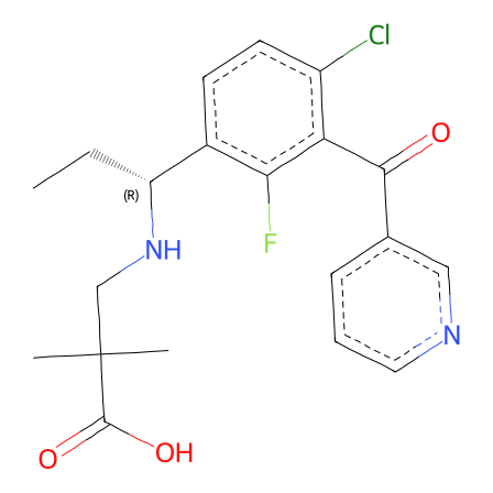 CC[C@@H](NCC(C)(C)C(=O)O)c1ccc(Cl)c(C(=O)c2cccnc2)c1F